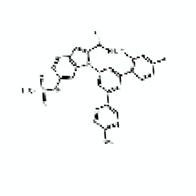 CS(=O)(=O)Nc1ccc2cc(C(N)=O)n(-c3cc(-c4cnc(N)nc4)cc(-c4ccc(F)cc4F)c3)c2c1